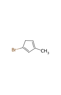 CC1=CCC(Br)=C1